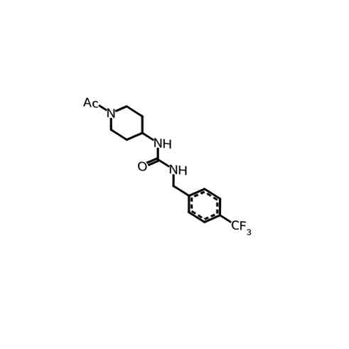 CC(=O)N1CCC(NC(=O)NCc2ccc(C(F)(F)F)cc2)CC1